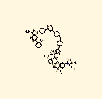 C/C(N)=C(/S)c1ccc([C@H](C)NC(=O)[C@@H]2CCCN2C(=O)C(c2cc(N3CCC(CN4CCC(c5ccnc(N6CCC(n7nc(N)c8nnc(-c9ccccc9O)cc87)CC6)n5)CC4)CC3)no2)C(C)C)cc1